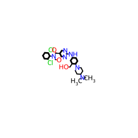 CN(C)C1CCN(c2ccc(Nc3ncc4c(n3)OCN(c3c(Cl)cccc3Cl)C4=O)cc2CO)CC1